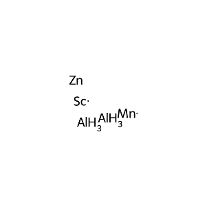 [AlH3].[AlH3].[Mn].[Sc].[Zn]